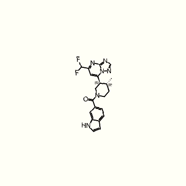 C[C@@H]1CCN(C(=O)c2ccc3cc[nH]c3c2)C[C@H]1c1cc(C(F)F)nc2ncnn12